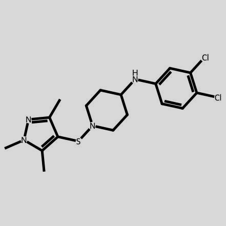 Cc1nn(C)c(C)c1SN1CCC(Nc2ccc(Cl)c(Cl)c2)CC1